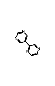 [c]1cnc(-c2cncnc2)cn1